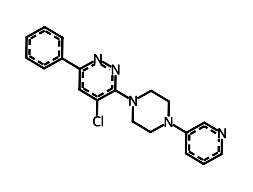 Clc1cc(-c2ccccc2)nnc1N1CCN(c2cccnc2)CC1